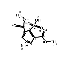 COC(=O)c1cccc(C(=O)OC)c1S(=O)(=O)O.[NaH]